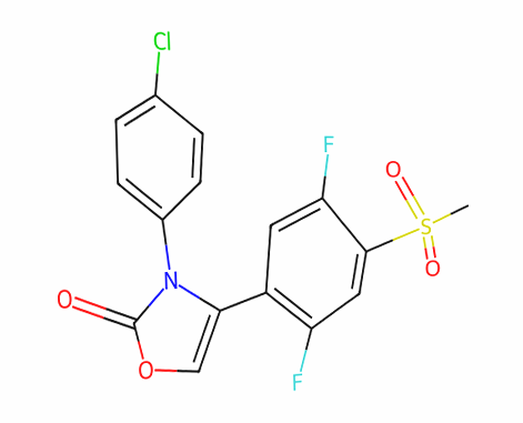 CS(=O)(=O)c1cc(F)c(-c2coc(=O)n2-c2ccc(Cl)cc2)cc1F